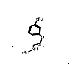 C[C@H](CNC(C)(C)C)Oc1cccc(C(C)(C)C)c1